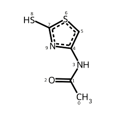 CC(=O)Nc1csc(S)n1